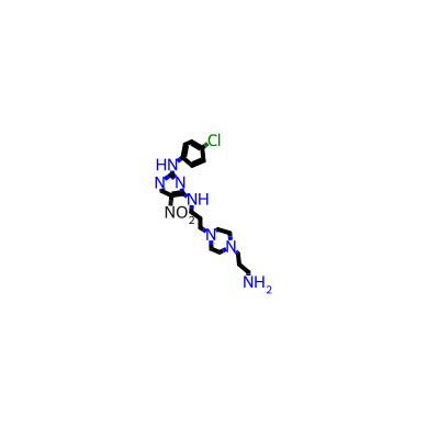 NCCCN1CCN(CCCNc2nc(Nc3ccc(Cl)cc3)ncc2[N+](=O)[O-])CC1